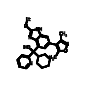 CCOc1nc2c(C(O)(c3ccccn3)C3CCCCC3)cc(-c3c(C)noc3C)cc2[nH]1